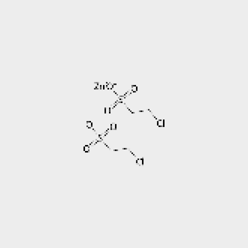 O=S(=O)([O-])CCCl.O=S(=O)([O-])CCCl.[Zn+2]